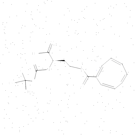 CC(C)(C)OC(=O)N[C@H](CCNC(=O)C1=C/C=C\C=C/C=C\1)C(=O)O